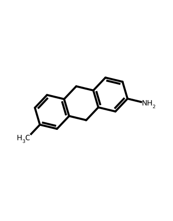 Cc1ccc2c(c1)Cc1cc(N)ccc1C2